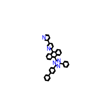 c1ccc(-c2ccc(-c3nc(-c4ccccc4)nc(-c4c5ccccc5c(-c5ccc(-c6cccnc6)cn5)c5ccccc45)n3)cc2)cc1